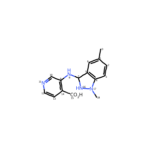 Cc1ccc2c(c1)C(Nc1cnccc1C(=O)O)NN2C